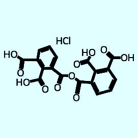 Cl.O=C(O)c1cccc(C(=O)OC(=O)c2cccc(C(=O)O)c2C(=O)O)c1C(=O)O